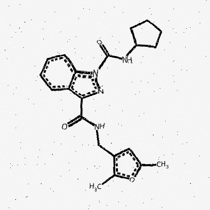 Cc1cc(CNC(=O)c2nn(C(=O)NC3CCCC3)c3ccccc23)c(C)o1